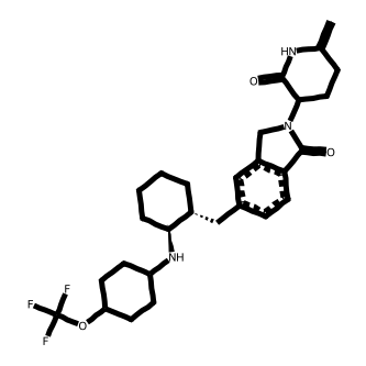 C=C1CCC(N2Cc3cc(C[C@H]4CCCC[C@@H]4NC4CCC(OC(F)(F)F)CC4)ccc3C2=O)C(=O)N1